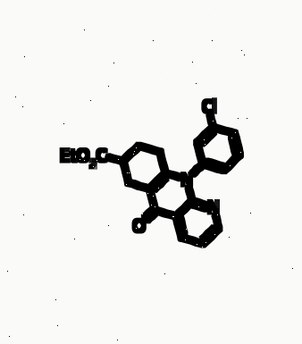 CCOC(=O)C1CCc2c(c(=O)c3cccnc3n2-c2cccc(Cl)c2)C1